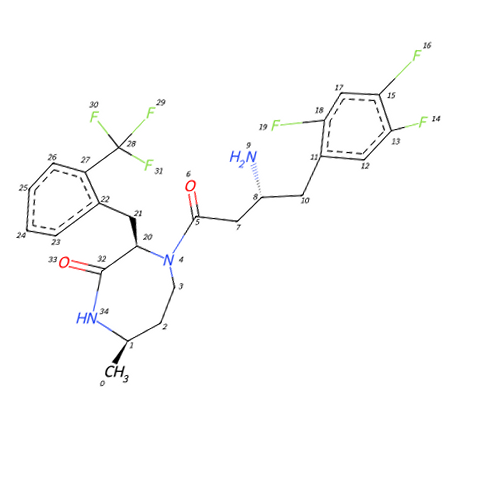 C[C@@H]1CCN(C(=O)C[C@H](N)Cc2cc(F)c(F)cc2F)[C@H](Cc2ccccc2C(F)(F)F)C(=O)N1